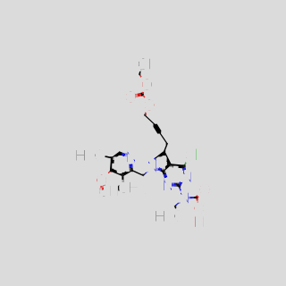 CCOC(=O)OCC#CCc1cn(Cc2ncc(C)c(OC)c2C)c2nc(N(CC)C(=O)O)nc(Cl)c12